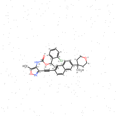 Cc1onc(C#Cc2ccc3cc(C4(C(=O)O)CCOCC4)ccc3c2)c1NC(=O)OC(C)c1ccccc1Cl